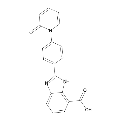 O=C(O)c1cccc2nc(-c3ccc(-n4ccccc4=O)cc3)[nH]c12